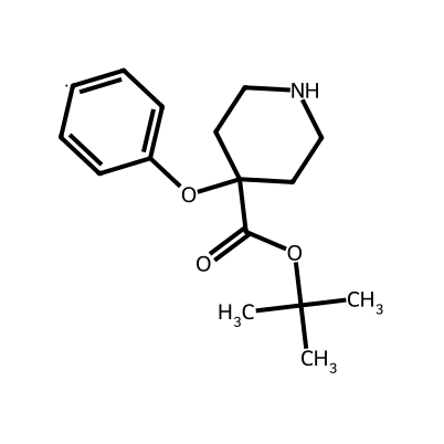 CC(C)(C)OC(=O)C1(Oc2cc[c]cc2)CCNCC1